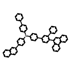 c1ccc(-c2ccc(N(c3ccc(-c4ccc(-c5cc6ccccc6c6ccccc56)c(-c5ccccc5)c4)cc3)c3ccc(-c4ccc5ccccc5c4)cc3)cc2)cc1